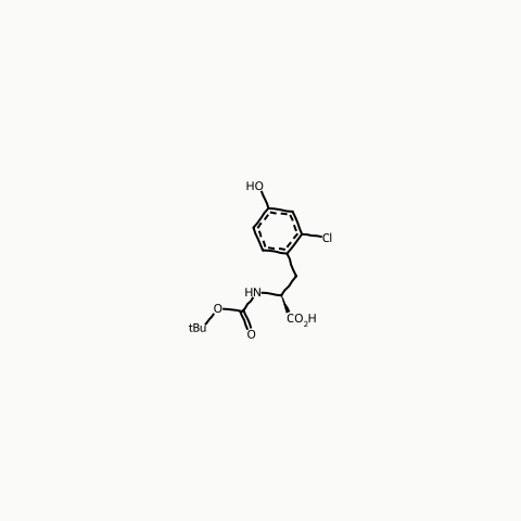 CC(C)(C)OC(=O)N[C@@H](Cc1ccc(O)cc1Cl)C(=O)O